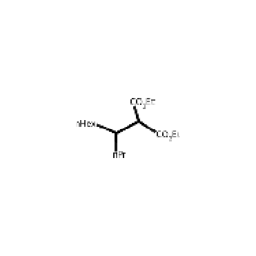 CCCCCCC(CCC)C(C(=O)OCC)C(=O)OCC